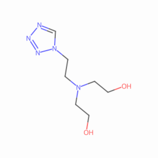 OCCN(CCO)CCn1cnnn1